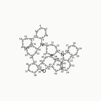 c1ccc(-c2ccccc2N(c2ccc(-n3c4ccccc4c4ccccc43)cc2)c2cccc(-c3cccc4oc5c6ccccc6ccc5c34)c2)cc1